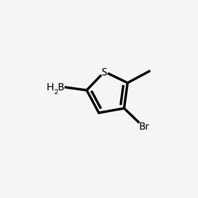 Bc1cc(Br)c(C)s1